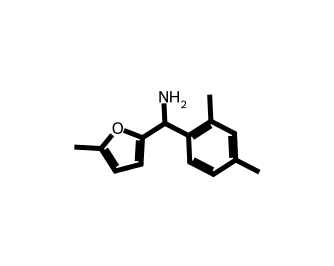 Cc1ccc(C(N)c2ccc(C)o2)c(C)c1